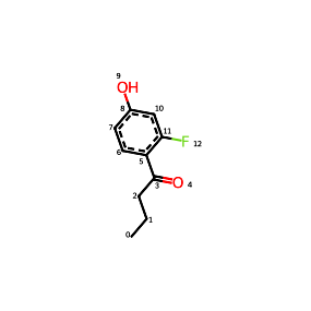 CCCC(=O)c1ccc(O)cc1F